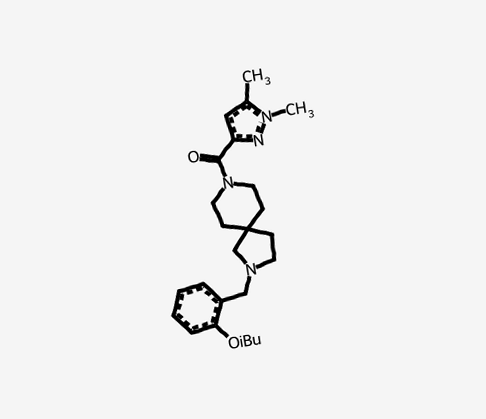 Cc1cc(C(=O)N2CCC3(CCN(Cc4ccccc4OCC(C)C)C3)CC2)nn1C